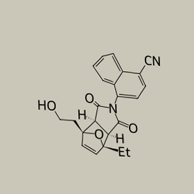 CC[C@@]12C=C[C@@](CCO)(O1)[C@H]1C(=O)N(c3ccc(C#N)c4ccccc34)C(=O)[C@H]12